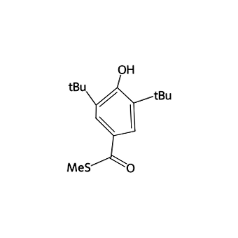 CSC(=O)c1cc(C(C)(C)C)c(O)c(C(C)(C)C)c1